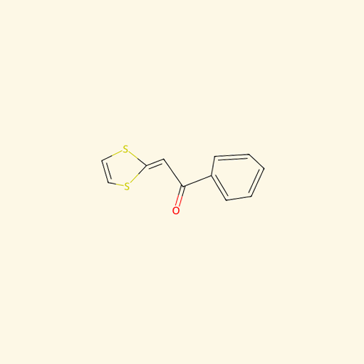 O=C(C=C1SC=CS1)c1ccccc1